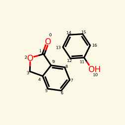 O=C1OCc2ccccc21.Oc1ccccc1